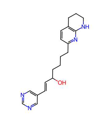 OC(C=Cc1cncnc1)CCCCc1ccc2c(n1)NCCC2